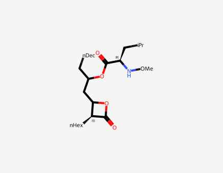 CCCCCCCCCCCC(CC1OC(=O)[C@H]1CCCCCC)OC(=O)[C@@H](CC(C)C)NOC